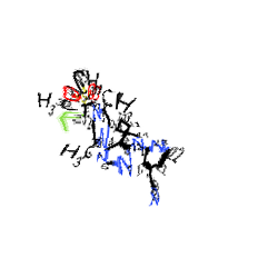 C[C@@H]1CN(c2ncnc3c2C2(CCC2)CN3c2cc(C#N)ccn2)[C@@H](C)CN1C(=O)C(C)(CF)S(C)(=O)=O